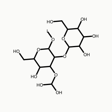 OCC1OC(OC2C(OI)OC(CO)C(O)C2OC(O)O)C(O)C(O)C1O